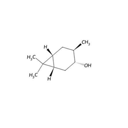 C[C@@H]1C[C@@H]2[C@H](C[C@H]1O)C2(C)C